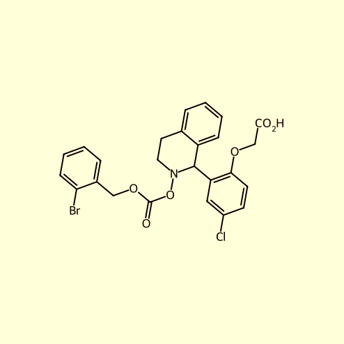 O=C(O)COc1ccc(Cl)cc1C1c2ccccc2CCN1OC(=O)OCc1ccccc1Br